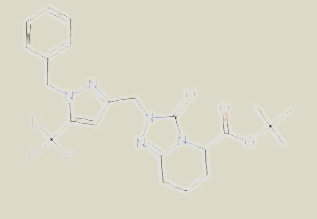 CC(C)(C)OC(=O)[C@@H]1CCCc2nn(Cc3cc(C(F)(F)F)n(Cc4ccccc4)n3)c(=O)n21